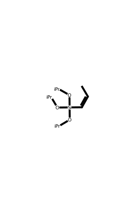 C/C=C\[Si](OC(C)C)(OC(C)C)OC(C)C